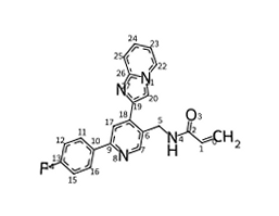 C=CC(=O)NCc1cnc(-c2ccc(F)cc2)cc1-c1cn2ccccc2n1